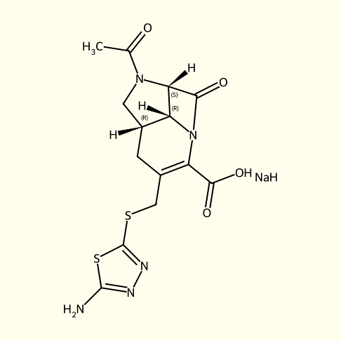 CC(=O)N1C[C@H]2CC(CSc3nnc(N)s3)=C(C(=O)O)N3C(=O)[C@@H]1[C@@H]23.[NaH]